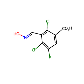 O=C(O)c1cc(F)c(Cl)c(/C=N/O)c1Cl